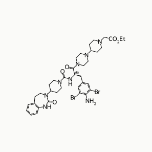 CCOC(=O)CN1CCC(N2CCN(C(=O)[C@@H](Cc3cc(Br)c(N)c(Br)c3)NC(=O)N3CCC(N4CCc5ccccc5NC4=O)CC3)CC2)CC1